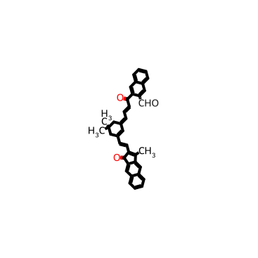 CC1=C(/C=C/C2=CC(=C/C=C/C(=O)c3cc4ccccc4cc3C=O)/CC(C)(C)C2)C(=O)c2cc3ccccc3cc21